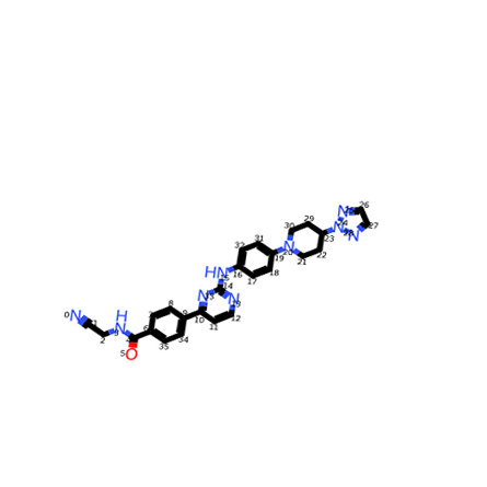 N#CCNC(=O)c1ccc(-c2ccnc(Nc3ccc(N4CCC(n5nccn5)CC4)cc3)n2)cc1